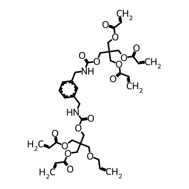 C=CCOCC(COC(=O)C=C)(COC(=O)C=C)COC(=O)NCc1cccc(CNC(=O)OCC(COC(=O)C=C)(COC(=O)C=C)COC(=O)C=C)c1